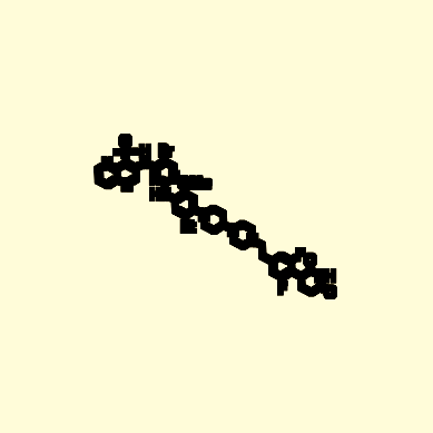 CCc1cc(Nc2ncc(Br)c(Nc3cnc4cccnc4c3P(C)(C)=O)n2)c(OC)cc1N1CCC(N2CCN(CCc3cc(F)c(C4CCC(=O)NC4=O)c(F)c3)CC2)CC1